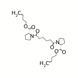 C=CCCOC(=O)[C@H]1CCCN1C(=O)CCCCC(=O)N1CCC[C@@H]1C(=O)OCCC=C